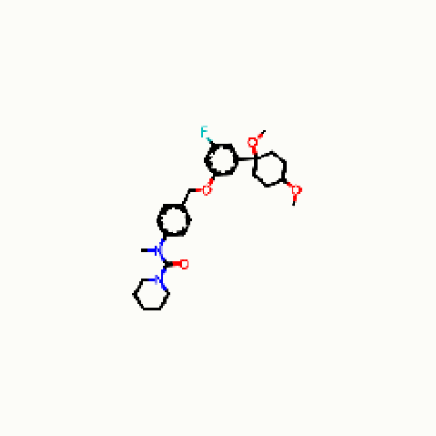 COC1CCC(OC)(c2cc(F)cc(OCc3ccc(N(C)C(=O)N4CCCCC4)cc3)c2)CC1